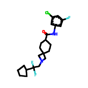 O=C(Nc1cc(F)cc(Cl)c1)C1CCC2(CC1)CN(CC(F)(F)C1CCCC1)C2